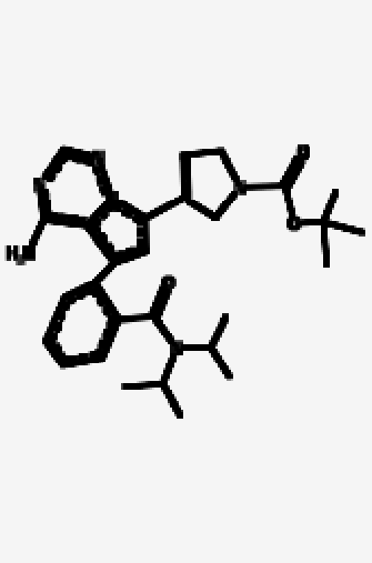 CC(C)N(C(=O)c1ccccc1-c1cc(C2=CCN(C(=O)OC(C)(C)C)C2)n2ncnc(N)c12)C(C)C